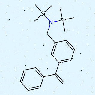 C=C(c1ccccc1)c1cccc(CN([Si](C)(C)C)[Si](C)(C)C)c1